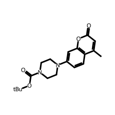 Cc1cc(=O)oc2cc(N3CCN(C(=O)OC(C)(C)C)CC3)ccc12